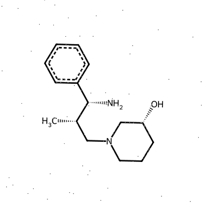 C[C@@H](CN1CCC[C@@H](O)C1)[C@@H](N)c1ccccc1